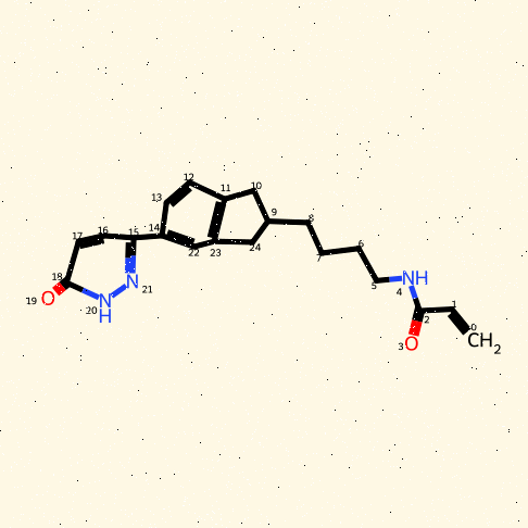 C=CC(=O)NCCCCC1Cc2ccc(-c3ccc(=O)[nH]n3)cc2C1